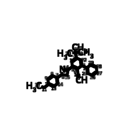 C#Cc1c(C2=NC(c3ccc(CC)cc3)C2)cc(C(C)(C)C)cc1-c1ccccc1